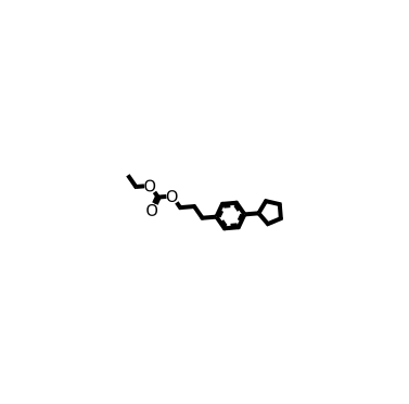 CCOC(=O)OCCCc1ccc(C2CCCC2)cc1